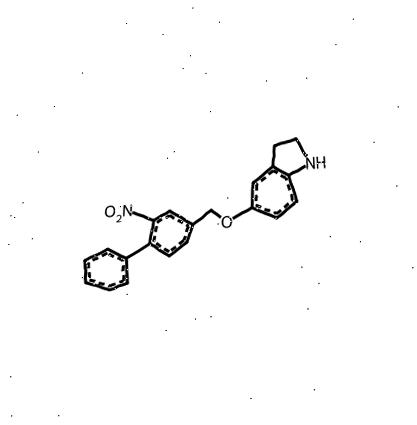 O=[N+]([O-])c1cc(COc2ccc3c(c2)CCN3)ccc1-c1ccccc1